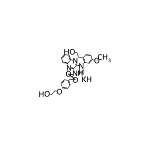 COc1ccc(CCO)c(Nc2nc3ccccc3nc2NS(=O)(=O)c2ccc(OCCO)cc2)c1.[KH]